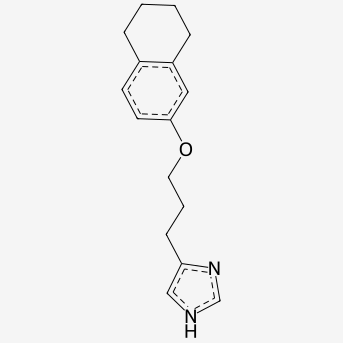 c1nc(CCCOc2ccc3c(c2)CCCC3)c[nH]1